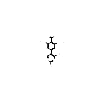 CCC(=O)c1c(OC)cc(-c2cnc(N)nc2N)cc1OC